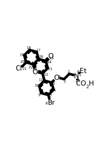 CCN(CCOc1cc(Br)ccc1-c1cc(=O)c2cccc(Cl)c2o1)C(=O)O